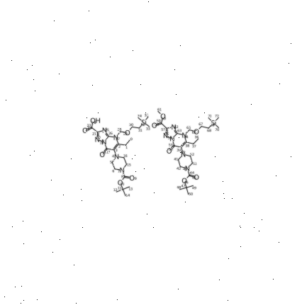 CCc1c(N2CCN(C(=O)OC(C)(C)C)CC2)c(=O)n2nc(C(=O)O)nc2n1COCC[Si](C)(C)C.CCc1c(N2CCN(C(=O)OC(C)(C)C)CC2)c(=O)n2nc(C(=O)OC)nc2n1COCC[Si](C)(C)C